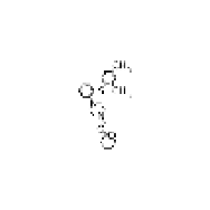 Cc1ccc(Sc2ccccc2N2CCN(CO[C@H]3CCCCO3)CC2)c(C)c1